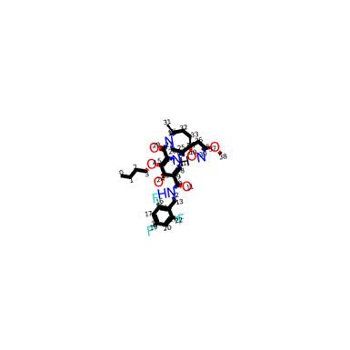 CCCCOc1c2n(cc(C(=O)NCc3c(F)cc(F)cc3F)c1=O)[C@@H]1CN(C2=O)[C@@H](C)CC[C@]12CC(OC)=NO2